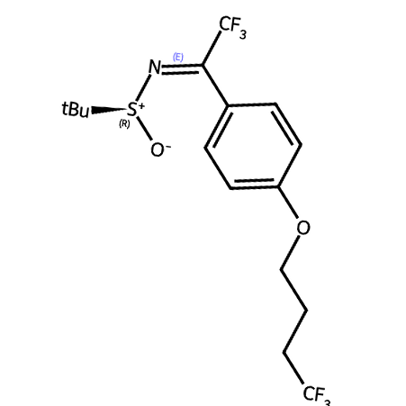 CC(C)(C)[S@+]([O-])/N=C(\c1ccc(OCCCC(F)(F)F)cc1)C(F)(F)F